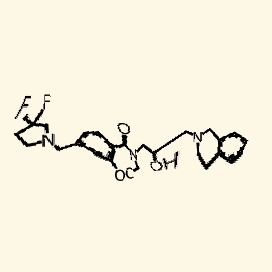 O=C1c2ccc(CN3CCC(F)(F)C3)cc2OCCN1CC(O)CN1CCc2ccccc2C1